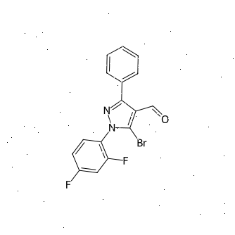 O=Cc1c(-c2ccccc2)nn(-c2ccc(F)cc2F)c1Br